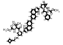 COC(=O)N[C@H](C(=O)N1C[C@@H](COCC2CCC2)C[C@H]1c1nc2ccc3cc(-c4ccc5c(ccc6nc([C@@H]7C[C@H]8C[C@H]8N7C(=O)[C@H](NC(=O)OC)c7ccccc7)[nH]c65)c4)ccc3c2[nH]1)C(C)C